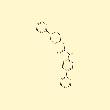 O=C(C[C@H]1CC[C@H](c2ccccc2)CC1)Nc1ccc(-c2ccccc2)cc1